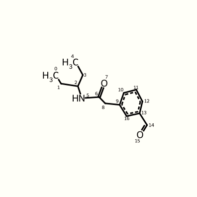 CCC(CC)NC(=O)Cc1cccc(C=O)c1